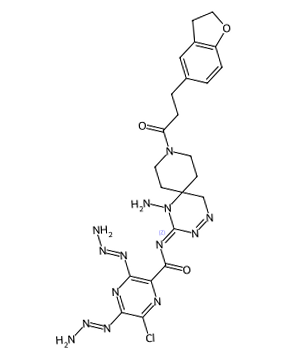 NN=Nc1nc(N=NN)c(C(=O)/N=C2\N=NCC3(CCN(C(=O)CCc4ccc5c(c4)CCO5)CC3)N2N)nc1Cl